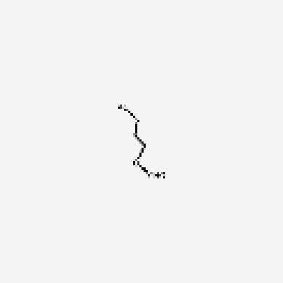 CC(=O)SCCOC=O